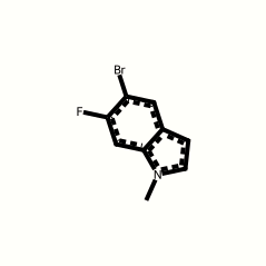 Cn1ccc2cc(Br)c(F)cc21